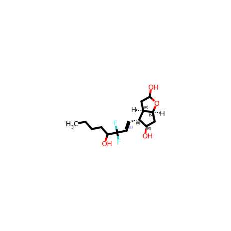 CCCCC(O)C(F)(F)/C=C/[C@@H]1[C@H]2CC(O)O[C@H]2C[C@H]1O